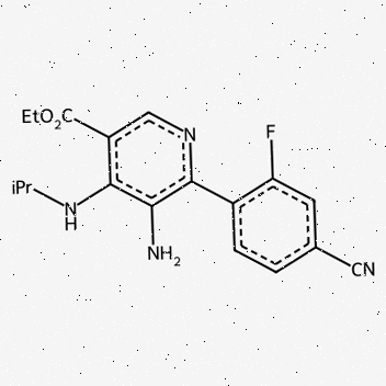 CCOC(=O)c1cnc(-c2ccc(C#N)cc2F)c(N)c1NC(C)C